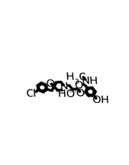 CNC(=O)c1ccc(O)cc1OC[C@H](O)CN1CCC2(CC1)Cc1cc(Cl)ccc1O2